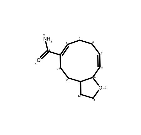 NC(=O)C1=CCCC=CC2OCCC2CC1